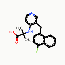 CC(C)(Nc1ccncc1Cc1ccc(F)c2ccccc12)C(=O)O